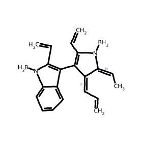 Bn1c(C=C)c(-c2c(C=C)n(B)c3ccccc23)c(=C/C=C)/c1=C\C